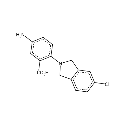 Nc1ccc(N2Cc3ccc(Cl)cc3C2)c(C(=O)O)c1